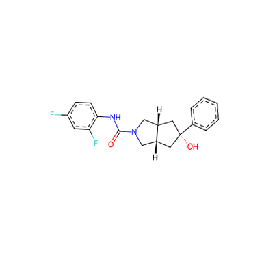 O=C(Nc1ccc(F)cc1F)N1C[C@@H]2C[C@@](O)(c3ccccc3)C[C@@H]2C1